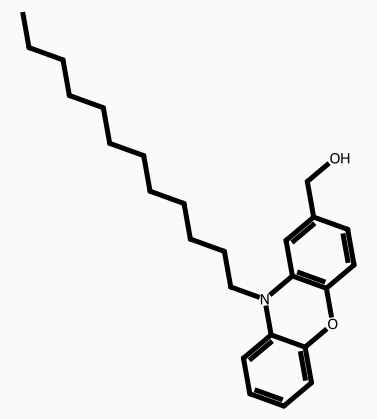 CCCCCCCCCCCCN1c2ccccc2Oc2ccc(CO)cc21